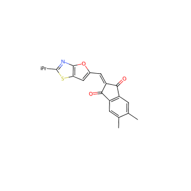 Cc1cc2c(cc1C)C(=O)C(=Cc1cc3sc(C(C)C)nc3o1)C2=O